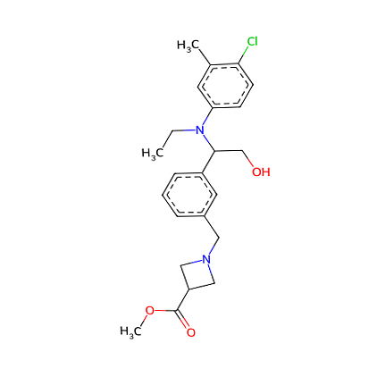 CCN(c1ccc(Cl)c(C)c1)C(CO)c1cccc(CN2CC(C(=O)OC)C2)c1